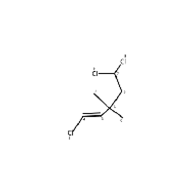 CC(C)(C=CCl)CC(Cl)Cl